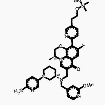 COc1cc(CN(Cc2cn3c4c(c(-c5ccc(CCO[Si](C)(C)C(C)(C)C)cn5)c(F)cc4c2=O)OC[C@@H]3C)[C@H]2CCCN(c3ccc(N)nc3)C2)ccn1